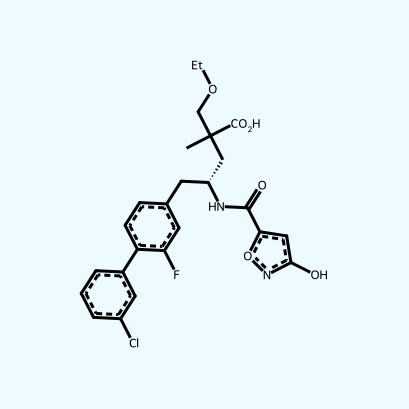 CCOCC(C)(C[C@@H](Cc1ccc(-c2cccc(Cl)c2)c(F)c1)NC(=O)c1cc(O)no1)C(=O)O